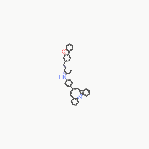 C=C/C(=C\C=C\c1ccc2c(c1)oc1ccccc12)Nc1ccc(-c2ccc3ccccc3n3cc(c2)c2ccccc23)cc1